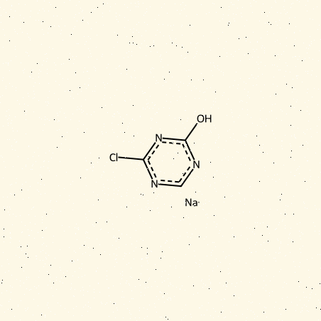 Oc1ncnc(Cl)n1.[Na]